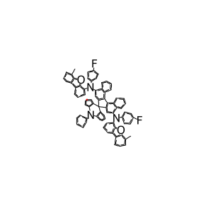 Cc1cccc2c1oc1c(N(c3ccc(F)cc3)c3cc4c(c5ccccc35)-c3c(cc(N(c5ccc(F)cc5)c5cccc6c5oc5c(C)cccc56)c5ccccc35)C43c4ccccc4N(c4ccccc4)c4ccccc43)cccc12